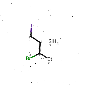 CCC(Br)CCI.[SiH4]